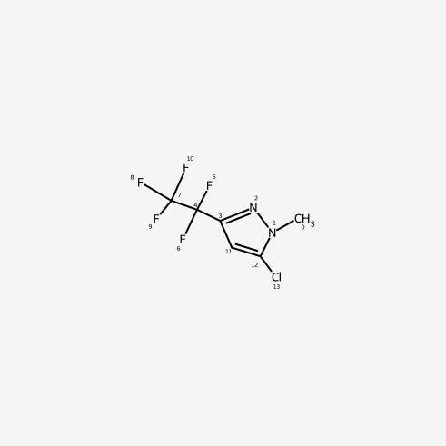 Cn1nc(C(F)(F)C(F)(F)F)cc1Cl